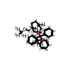 [2H]C([2H])([2H])OC[C@]12CC[C@H](CN(C(c3ccccc3)(c3ccccc3)c3ccccc3)C1)N2C(=O)OC(C)(C)C